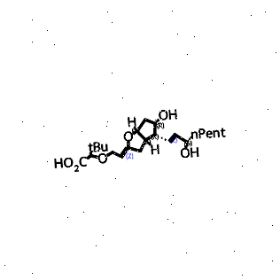 CCCCC[C@H](O)/C=C/[C@@H]1[C@@H]2C/C(=C/COC(C(=O)O)C(C)(C)C)O[C@H]2C[C@H]1O